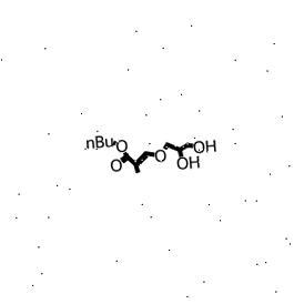 CCCCOC(=O)C(C)=COCC(O)CO